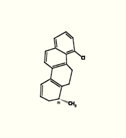 C[C@@H]1CC=CC2=C1CCc1c2ccc2cccc(Cl)c12